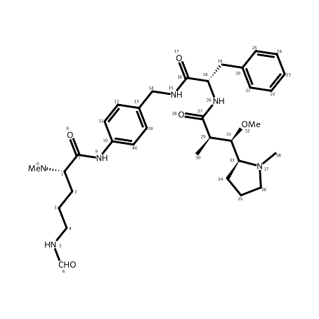 CN[C@@H](CCCNC=O)C(=O)Nc1ccc(CNC(=O)[C@H](Cc2ccccc2)NC(=O)[C@H](C)[C@@H](OC)[C@@H]2CCCN2C)cc1